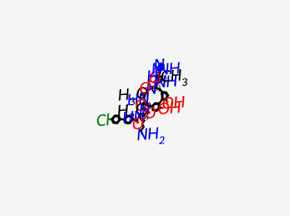 C[C@@H]1NC(=O)[C@@H](N(C)C(=O)[C@H](CCCCN)NC(=O)c2ccc(-c3ccc(Cl)cc3)cc2)c2ccc(O)c(c2)-c2cc(ccc2O)C[C@@H](C(=O)N[C@@H](C)C(=O)c2nnc[nH]2)NC1=O